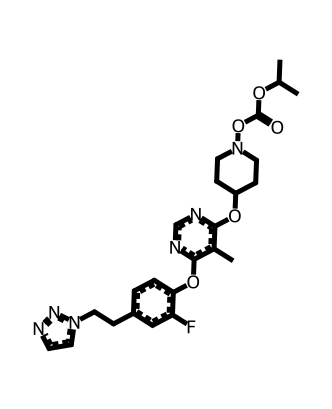 Cc1c(Oc2ccc(CCn3ccnn3)cc2F)ncnc1OC1CCN(OC(=O)OC(C)C)CC1